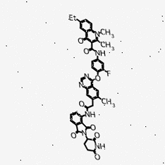 CCc1ccc2c(c1)c(=O)c(C(=O)Nc1ccc(Oc3ncnc4cc(CC(=O)Nc5cccc6c5C(=O)N(C5CCC(=O)NC5=O)C6=O)c(C)cc34)c(F)c1)c(C)n2C